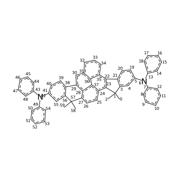 CC1(C)c2cc(N(c3ccccc3)c3ccccc3)ccc2-c2c1c1ccc3c4c(cc5cccc2c5c14)-c1ccc(N(c2ccccc2)c2ccccc2)cc1C3(C)C